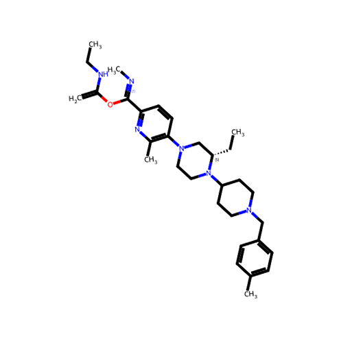 C=C(NCC)O/C(=N\C)c1ccc(N2CCN(C3CCN(Cc4ccc(C)cc4)CC3)[C@@H](CC)C2)c(C)n1